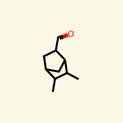 CC1C2CC(C=O)C(C2)C1C